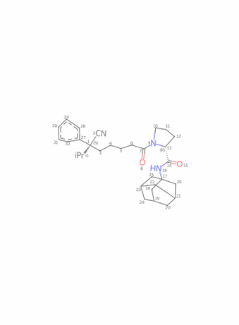 CC(C)[C@@](C#N)(CCCCC(=O)N1CCC[C@@H]1C(=O)NC12CC3CC(CC(C3)C1)C2)c1ccccc1